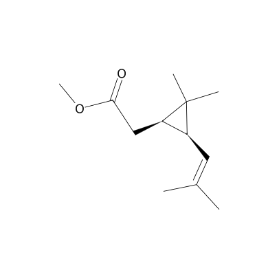 COC(=O)C[C@@H]1[C@H](C=C(C)C)C1(C)C